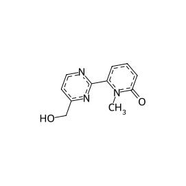 Cn1c(-c2nccc(CO)n2)cccc1=O